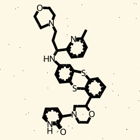 Cc1cccc(C(CCN2CCOCC2)Nc2ccc3c(c2)Sc2cccc(C4CN(c5ccc[nH]c5=O)CCO4)c2S3)n1